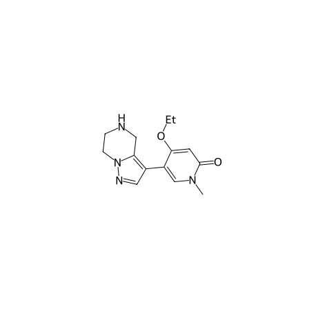 CCOc1cc(=O)n(C)cc1-c1cnn2c1CNCC2